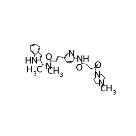 CC(c1cc2ccccc2[nH]1)N(C)C(=O)C=Cc1ccc(NC(=O)CCC(=O)N2CCN(C)CC2)nc1